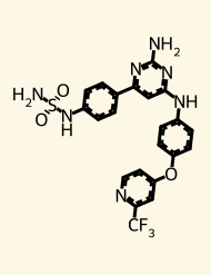 Nc1nc(Nc2ccc(Oc3ccnc(C(F)(F)F)c3)cc2)cc(-c2ccc(NS(N)(=O)=O)cc2)n1